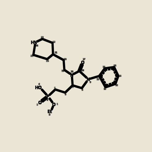 CCOP(=O)(O)CCC1CN(c2ccccc2)C(=O)N1CCC1CCNCC1